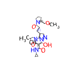 COC[C@@H]1CCCN1C(=O)/C=C/c1cnn2c(O)c(C(=O)NC3CC3)c(=O)n(CC(C)C)c12